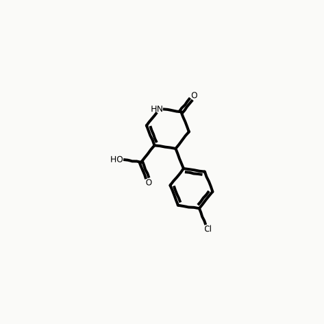 O=C1CC(c2ccc(Cl)cc2)C(C(=O)O)=CN1